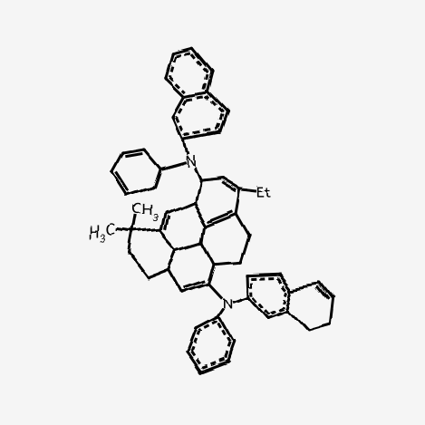 CCC1=CC(N(c2ccc3ccccc3c2)C2C=CC=CC2)C2C=C3C4C(C=C(N(c5ccccc5)c5ccc6c(c5)CCC=C6)C5CCC1=C2C54)CCC3(C)C